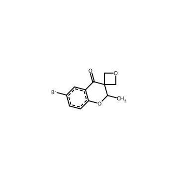 CC1Oc2ccc(Br)cc2C(=O)C12COC2